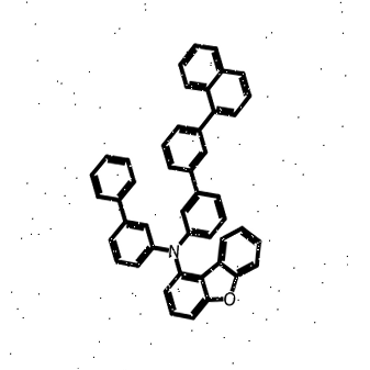 c1ccc(-c2cccc(N(c3cccc(-c4cccc(-c5cccc6ccccc56)c4)c3)c3cccc4oc5ccccc5c34)c2)cc1